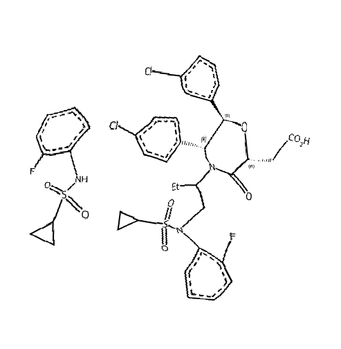 CCC(CN(c1ccccc1F)S(=O)(=O)C1CC1)N1C(=O)[C@@H](CC(=O)O)O[C@H](c2cccc(Cl)c2)[C@H]1c1ccc(Cl)cc1.O=S(=O)(Nc1ccccc1F)C1CC1